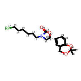 CC1(C)OCc2cc([C@@H]3CN(CCCCCCBr)C(=O)O3)ccc2O1